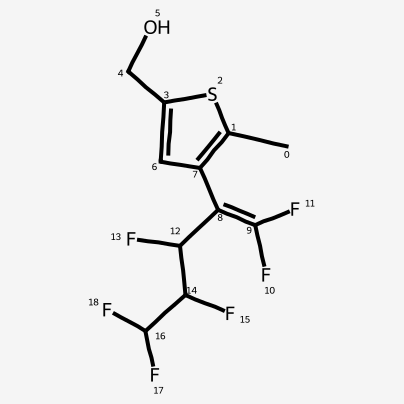 Cc1sc(CO)cc1C(=C(F)F)C(F)C(F)C(F)F